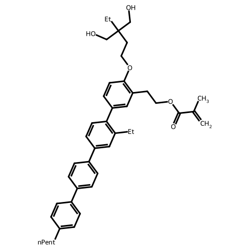 C=C(C)C(=O)OCCc1cc(-c2ccc(-c3ccc(-c4ccc(CCCCC)cc4)cc3)cc2CC)ccc1OCCC(CC)(CO)CO